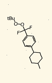 CC1CCC(c2ccc(C(F)(F)OOC(C)(C)C)cc2)CC1